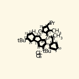 CC1=[C](/[Zr+2](=[C](\C)c2ccccc2)[c]2cc(C(C)(C)C)cc3c2Cc2ccc(C(C)(C)C)cc2-3)C(C)C=C1C(C)C.[Cl-].[Cl-]